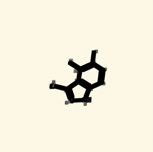 Cc1ccc2[nH]nc(Cl)c2c1C